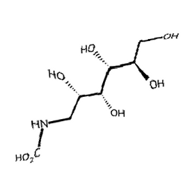 O=C(O)NC[C@H](O)[C@@H](O)[C@H](O)[C@H](O)CO